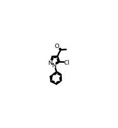 CC(=O)c1cnn(-c2ccccc2)c1Cl